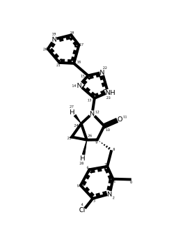 Cc1nc(Cl)ccc1C[C@H]1C(=O)N(c2nc(-c3ccncc3)n[nH]2)[C@H]2C[C@@H]12